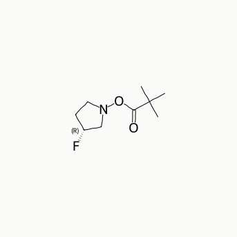 CC(C)(C)C(=O)ON1CC[C@@H](F)C1